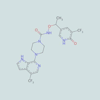 CC(ONC(=O)N1CCN(c2ncc(C(F)(F)F)c3cc[nH]c23)CC1)c1c[nH]c(=O)c(C(F)(F)F)c1